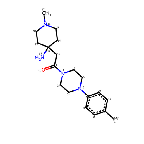 CC(C)c1ccc(N2CCN(C(=O)CC3(N)CCN(C)CC3)CC2)cc1